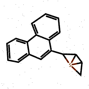 c1ccc2c(c1)cc(C1C3C4CS413)c1ccccc12